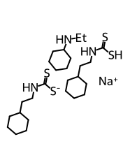 CCNC1CCCCC1.S=C(S)NCCC1CCCCC1.S=C([S-])NCCC1CCCCC1.[Na+]